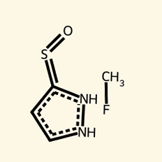 CF.O=S=c1cc[nH][nH]1